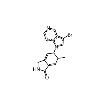 CC1C=C2C(=O)NCC2=CC1n1cc(Br)c2cncnc21